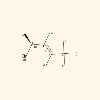 C/C(=C(/C)C(C)(C)C)[C@H](C)Br